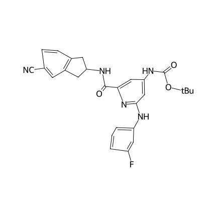 CC(C)(C)OC(=O)Nc1cc(Nc2cccc(F)c2)nc(C(=O)NC2Cc3ccc(C#N)cc3C2)c1